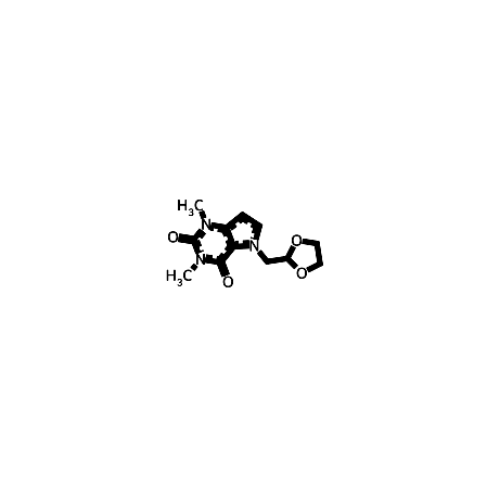 Cn1c(=O)c2c(ccn2CC2OCCO2)n(C)c1=O